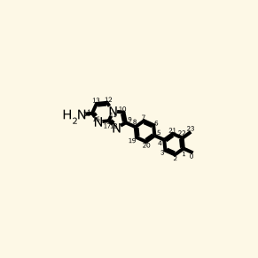 Cc1ccc(-c2ccc(-c3cn4ccc(N)nc4n3)cc2)cc1C